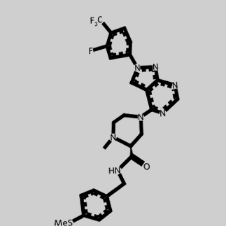 CSc1ccc(CNC(=O)[C@@H]2CN(c3ncnc4nn(-c5ccc(C(F)(F)F)c(F)c5)cc34)CCN2C)cc1